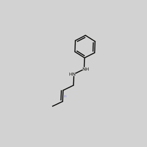 C/C=C/CNNc1ccccc1